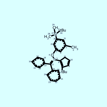 Cc1cc([O][Ti]([C]2=C(C(C)(C)C)C=CC2)=[C](c2ccccc2)c2ccccc2)cc([Si](C)(C)C(C)(C)C)c1